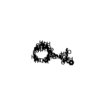 C=C1C[C@@H]2CC[C@@]34CC5OC6C(O[C@H]7CC[C@H](CC(=O)C[C@@H]8[C@@H](OC)[C@@H](C[C@H](O)CNC(=O)CNC(=O)[C@H](Cc9ccccc9)NC(=O)CNC(=O)CC)O[C@H]8C[C@H]8O[C@@H](CC[C@@H]1O2)C[C@@H](C)C8=C)O[C@@H]7[C@@H]6O3)[C@H]5O4